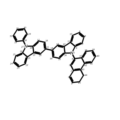 C1=Cc2cc(-n3c4ccccc4c4cc(-c5ccc6c(c5)c5ccccc5n6-c5ccccc5)ccc43)c3ccccc3c2CC1